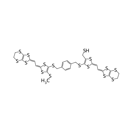 CSC1=C(SCc2ccc(CSC3=C(CS)SC(=CC=C4SC5=C(SCCS5)S4)S3)cc2)SC(=CC=C2SC3=C(SCCS3)S2)S1